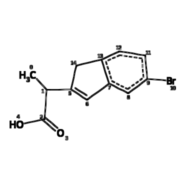 CC(C(=O)O)C1=Cc2cc(Br)ccc2C1